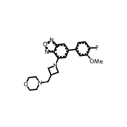 COc1cc(-c2cc(N3CC(CN4CCOCC4)C3)c3nonc3c2)ccc1F